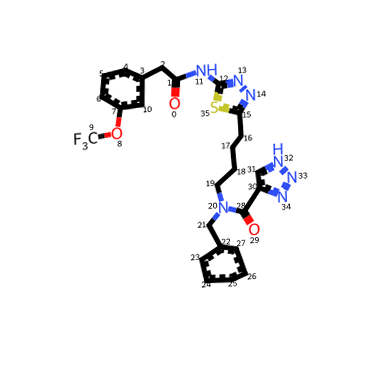 O=C(Cc1cccc(OC(F)(F)F)c1)Nc1nnc(CCCCN(Cc2ccccc2)C(=O)c2c[nH]nn2)s1